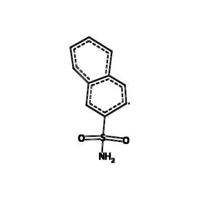 NS(=O)(=O)c1[c]cc2ccccc2c1